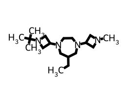 CCC1CN(C2CN(C)C2)CCN(C2CN(C(C)(C)C)C2)C1